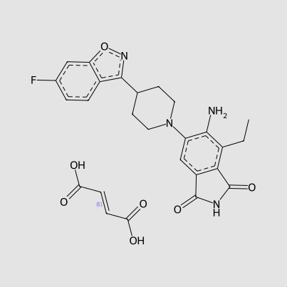 CCc1c(N)c(N2CCC(c3noc4cc(F)ccc34)CC2)cc2c1C(=O)NC2=O.O=C(O)/C=C/C(=O)O